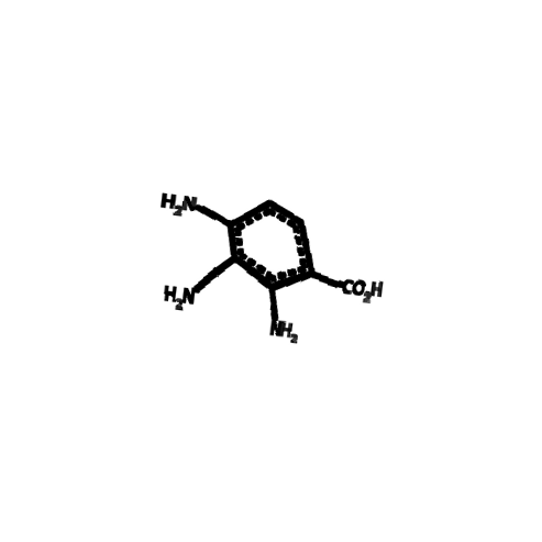 Nc1ccc(C(=O)O)c(N)c1N